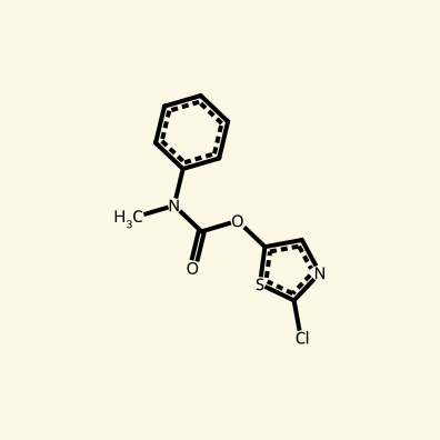 CN(C(=O)Oc1cnc(Cl)s1)c1ccccc1